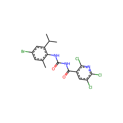 Cc1cc(Br)cc(C(C)C)c1NC(=O)NC(=O)c1cc(Cl)c(Cl)nc1Cl